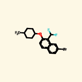 CC(C)c1ccc2ccc(OC3CCC(C(F)(F)F)CC3)c(C(F)F)c2c1